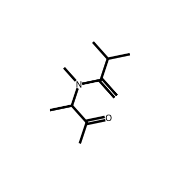 C=C(C(C)C)N(C)C(C)C(C)=O